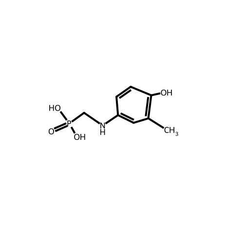 Cc1cc(NCP(=O)(O)O)ccc1O